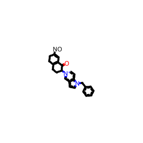 O=NC1=CC2=C(CC1)CCC([n+]1ccc3c(ccn3Cc3ccccc3)c1)C2=O